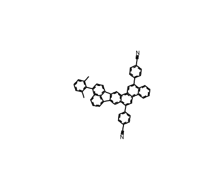 Cc1cccc(C)c1-c1ccc2c3c(cccc13)-c1cc3c(-c4ccc(C#N)cc4)cc4c5ccccc5c(-c5ccc(C#N)cc5)cc4c3cc1-2